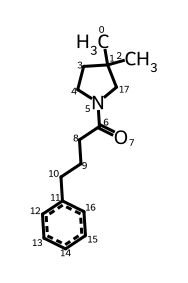 CC1(C)CCN(C(=O)CCCc2ccccc2)C1